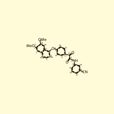 COc1cc2ncnc(Oc3ccc(C(=O)C(=O)Nc4cccc(C#N)c4)cc3)c2cc1OC